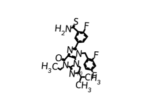 CCN1C(=O)c2nc(-c3ccc(F)c(C(N)=S)c3)n(Cc3ccc(F)cc3F)c2N2C[C@@H](C(C)C)N=C12